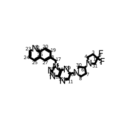 FC1(F)CCN(C2CCN(c3cnc4nnn(Cc5ccc6ncccc6c5)c4n3)C2)C1